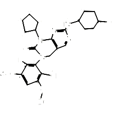 CCOc1cc(OC)c(F)c(N2Cc3cnc(NC4CCC(O)CC4)nc3N(C3CCCC3)C2=O)c1Cl